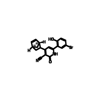 N#Cc1c(C2C[C@@H]3C=C[C@H]2C3)cc(-c2cc(Br)ccc2O)[nH]c1=O